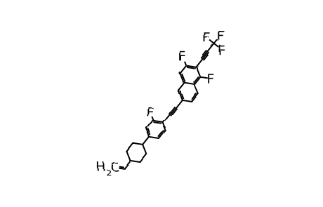 C=CC1CCC(c2ccc(C#Cc3ccc4c(F)c(C#CC(F)(F)F)c(F)cc4c3)c(F)c2)CC1